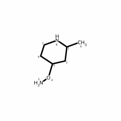 CC1CC(ON)CCN1